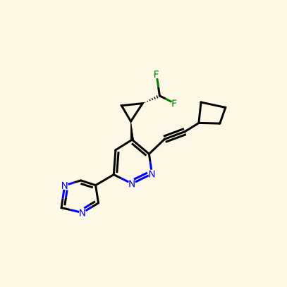 FC(F)[C@H]1C[C@@H]1c1cc(-c2cncnc2)nnc1C#CC1CCC1